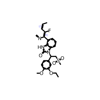 C=N/C(=C(F)\C=C/C)c1cccc2c1[nH]c(=O)n2C(CS(C)(=O)=O)c1ccc(OC)c(OCC)c1